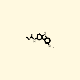 COC(=O)NC1CCc2[nH]c3ccc(N)cc3c2C1